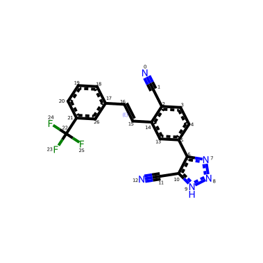 N#Cc1ccc(-c2nn[nH]c2C#N)cc1/C=C/c1cccc(C(F)(F)F)c1